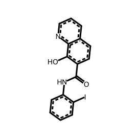 O=C(Nc1ccccc1I)c1ccc2cccnc2c1O